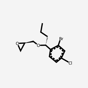 CCC[C@@H](OC[C@H]1CO1)c1ccc(Cl)cc1Br